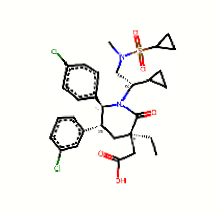 CC[C@]1(CC(=O)O)C[C@H](c2cccc(Cl)c2)[C@@H](c2ccc(Cl)cc2)N([C@H](CN(C)S(=O)(=O)C2CC2)C2CC2)C1=O